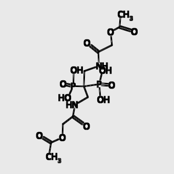 CC(=O)OCC(=O)NCC(CNC(=O)COC(C)=O)(P(=O)(O)O)P(=O)(O)O